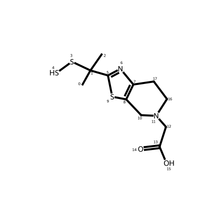 CC(C)(SS)c1nc2c(s1)CN(CC(=O)O)CC2